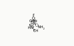 C#Cc1cc2c(NC3CCC(N)CC3)c(C(=O)Nc3ccc(F)cc3)cnc2[nH]1